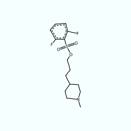 CN1CCC(CCCOS(=O)(=O)c2c(F)cccc2F)CC1